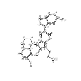 O=c1n(CCO)c2cnc(-n3cnc4ccc(F)cc43)nc2n1[C@@H]1CCOc2ccc(F)cc21